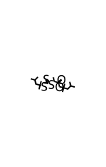 CC(C)CC(C)(C)OC(=O)C(C)SC(=S)SC(C)(C)CC(C)C